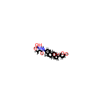 CC(C)[C@@H](NC(=O)O)C(=O)N(C)C1CC[C@@]2(C)[C@H](CC[C@@H]3[C@@H]2CC[C@]2(C)[C@@H](c4ccc(=O)oc4)CC[C@]32O)C1